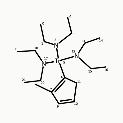 CC[N](CC)[Ti]([C]1=C(C)C=CC1)([N](CC)CC)[N](CC)CC